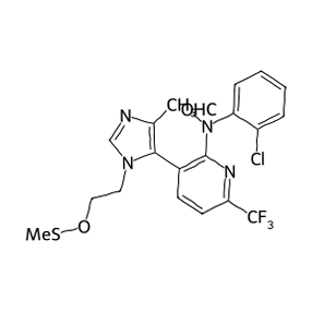 CSOCCn1cnc(C)c1-c1ccc(C(F)(F)F)nc1N(C=O)c1ccccc1Cl